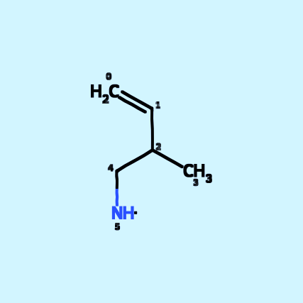 C=CC(C)C[NH]